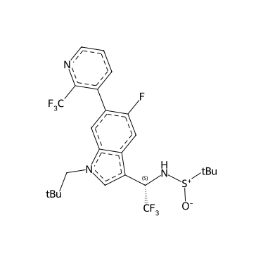 CC(C)(C)Cn1cc([C@H](N[S+]([O-])C(C)(C)C)C(F)(F)F)c2cc(F)c(-c3cccnc3C(F)(F)F)cc21